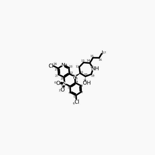 O=S1(=O)c2cc(Cl)ccc2N([C@H]2CCC(CCI)NC[C@@H]2O)c2cnc(Cl)cc21